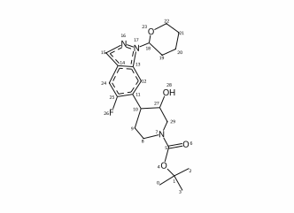 CC(C)(C)OC(=O)N1CCC(c2cc3c(cnn3C3CCCCO3)cc2F)C(O)C1